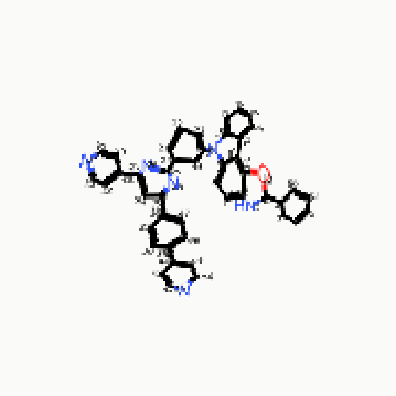 C1=CCC(C2Nc3ccc4c(c3O2)c2ccccc2n4-c2cccc(-c3nc(-c4ccncc4)cc(-c4ccc(-c5ccncc5)cc4)n3)c2)C=C1